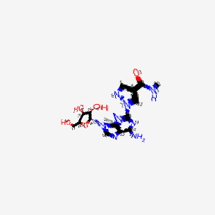 CNC(=O)c1cnn(-c2nc(N)c3ncn([C@@H]4OC(CO)[C@@H](O)[C@H]4O)c3n2)c1